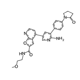 COCCNC(=O)c1cc2c(-c3cnc(N)c(-c4ccc(N5CCCC5=O)cc4)c3)ccnc2o1